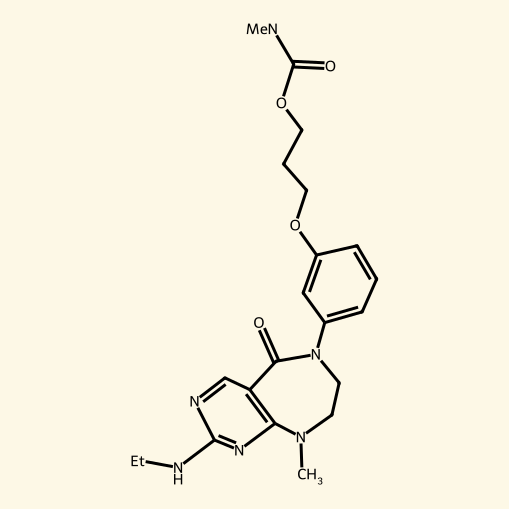 CCNc1ncc2c(n1)N(C)CCN(c1cccc(OCCCOC(=O)NC)c1)C2=O